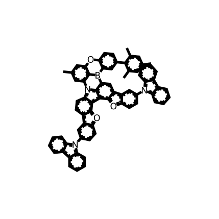 Cc1cc(C)c(-c2ccc3c(c2)B2c4c(cc(C)cc4-n4c5ccc6c7cc(-n8c9ccccc9c9ccccc98)ccc7oc6c5c5c6oc7ccc(-n8c9ccccc9c9ccccc98)cc7c6cc2c54)O3)c(C)c1